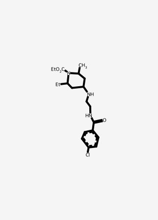 CCOC(=O)N1C(C)CC(NCCNC(=O)c2ccc(Cl)cc2)CC1CC